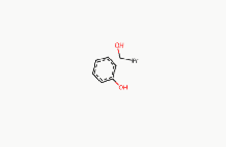 CC(C)CO.Oc1ccccc1